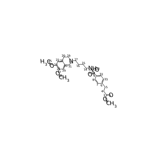 COC(=O)CCc1ccc(S(=O)(=O)NCCCCN2CCc3cc(OC)c(OC)cc3C2)cc1